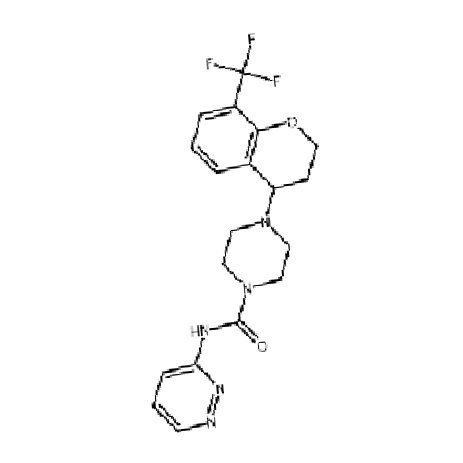 O=C(Nc1cccnn1)N1CCN(C2CCOc3c2cccc3C(F)(F)F)CC1